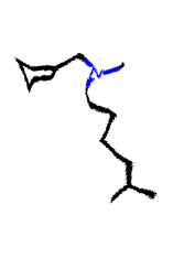 CC(C)CCCCN(C)CC1CC1